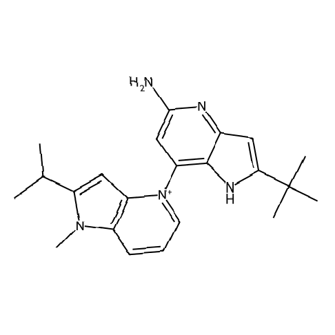 CC(C)c1cc2c(ccc[n+]2-c2cc(N)nc3cc(C(C)(C)C)[nH]c23)n1C